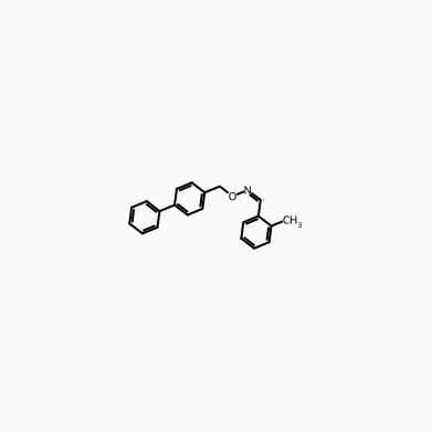 Cc1ccccc1/[C]=N\OCc1ccc(-c2ccccc2)cc1